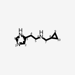 c1ncc(CCNCC2CC2)[nH]1